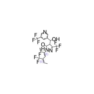 C=C/C(=C\C(=C/C)C(F)(F)F)N1N=C(C(F)(F)F)C(C(O)c2cncc(C(F)(F)F)c2)C1O